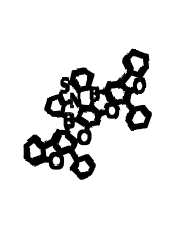 c1ccc(-c2c3c(cc4c2oc2ccccc24)B2c4cccc5c4N4c6c(cccc6B6c7cc8c(oc9ccccc98)c(-c8ccccc8)c7Oc7cc(c2c4c76)O3)S5)cc1